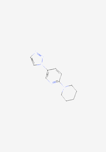 [CH]1CCN(c2ccc(-n3ccnn3)cn2)CC1